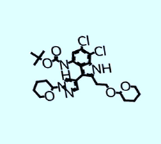 CC(C)(C)OC(=O)Nc1cc(Cl)c(Cl)c2[nH]c(CCOC3CCCCO3)c(-c3cnn(C4CCCCO4)c3)c12